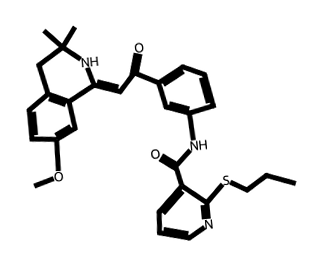 CCCSc1ncccc1C(=O)Nc1cccc(C(=O)C=C2NC(C)(C)Cc3ccc(OC)cc32)c1